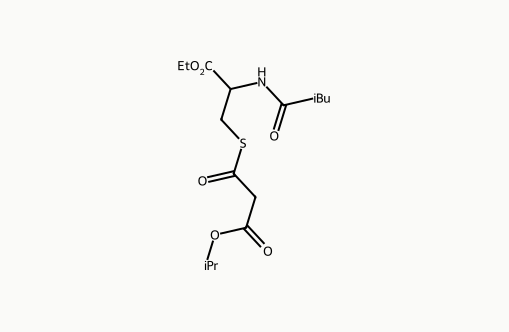 CCOC(=O)C(CSC(=O)CC(=O)OC(C)C)NC(=O)C(C)CC